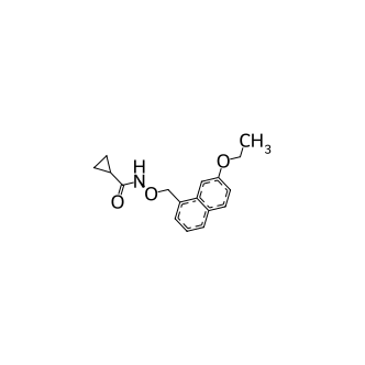 CCOc1ccc2cccc(CONC(=O)C3CC3)c2c1